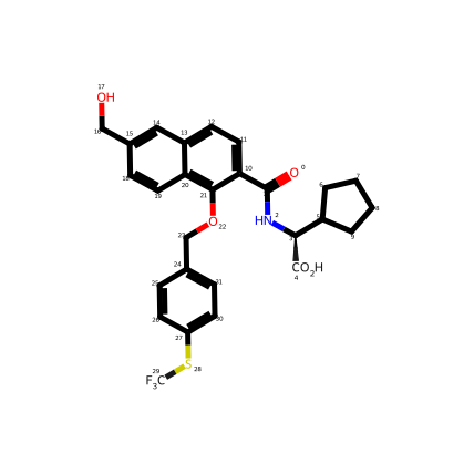 O=C(N[C@H](C(=O)O)C1CCCC1)c1ccc2cc(CO)ccc2c1OCc1ccc(SC(F)(F)F)cc1